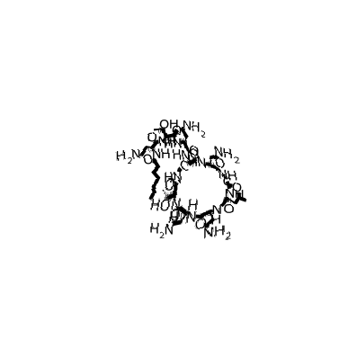 CCCCCCC(=O)N[C@@H](CCN)C(=O)N[C@H](C(=O)N[C@@H](CCN)C(=O)N[C@H]1CCNC(=O)[C@H]([C@@H](C)O)NC(=O)[C@H](CCN)NC(=O)[C@H](CCN)NC(=O)[C@H](CC(C)C)NC(=O)CNC(=O)[C@H](CCN)NC1=O)[C@@H](C)O